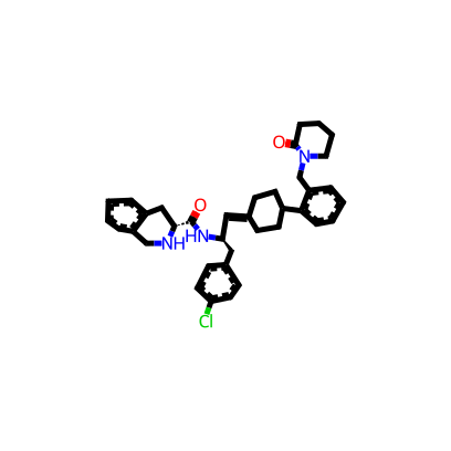 O=C(N[C@@H](C=C1CCC(c2ccccc2CN2CCCCC2=O)CC1)Cc1ccc(Cl)cc1)[C@H]1Cc2ccccc2CN1